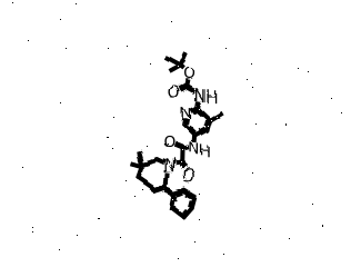 Cc1cc(NC(=O)C(=O)N2CC(C)(C)CCC2c2ccccc2)cnc1NC(=O)OC(C)(C)C